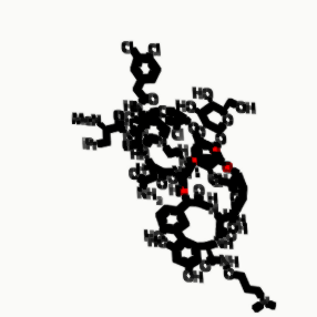 CN[C@H](CC(C)C)C(=O)N[C@H]1C(=O)N[C@@H](CC(N)=O)C(=O)N[C@H]2C(=O)N[C@H]3C(=O)N[C@H](C(=O)N[C@@H](C(=O)NOCCCN(C)C)c4cc(O)cc(O)c4-c4cc3ccc4O)[C@H](O)c3ccc(c(Cl)c3)Oc3cc2cc(c3O[C@@H]2O[C@H](CO)[C@@H](O)[C@H](O)[C@H]2O[C@H]2C[C@](C)(NCCn3ccc(NC(=O)Cc4ccc(Cl)c(Cl)c4)nc3=O)[C@H](O)[C@H](C)O2)Oc2ccc(cc2Cl)[C@H]1O